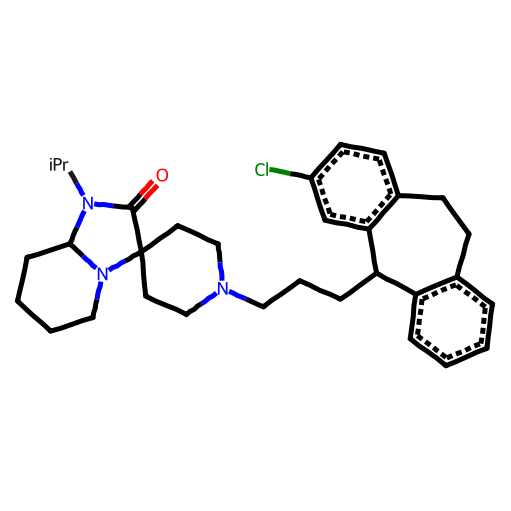 CC(C)N1C(=O)C2(CCN(CCCC3c4ccccc4CCc4ccc(Cl)cc43)CC2)N2CCCCC12